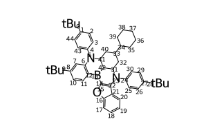 CC(C)(C)c1ccc(N2c3cc(C(C)(C)C)ccc3B3c4oc5ccccc5c4N(c4ccc(C(C)(C)C)cc4)C4CC(C5CCCCC5)CC2C34)cc1